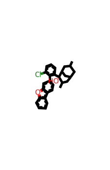 CC1CC2CC(C)C(O)(c3cccc(Cl)c3-c3ccc4c(c3)oc3ccccc34)C(C1)C2